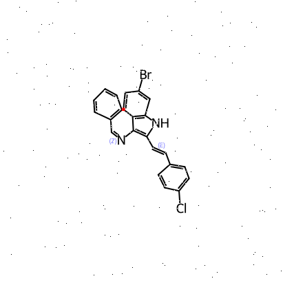 Clc1ccc(/C=C/c2[nH]c3cc(Br)ccc3c2/N=C\c2ccccc2)cc1